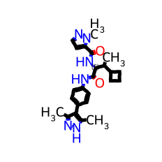 Cc1n[nH]c(C)c1-c1ccc(NC(=O)[C@@H](NC(=O)c2ccnn2C)C(C)C2CCC2)cc1